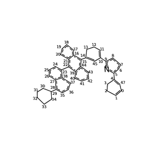 C1=CCCC(c2cccc(C3=CCCC(c4c5ccccc5c(-c5cccc6c(C7CCCCC7)cccc56)c5ccccc45)=C3)n2)=C1